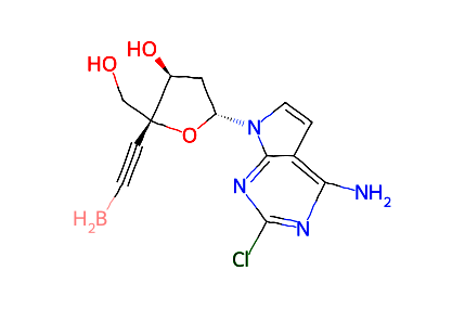 BC#C[C@]1(CO)O[C@@H](n2ccc3c(N)nc(Cl)nc32)C[C@@H]1O